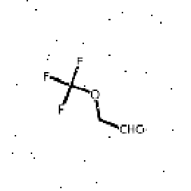 O=[C]COC(F)(F)F